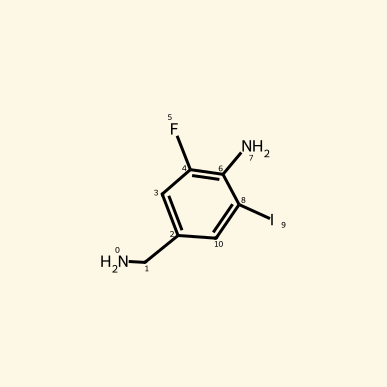 NCc1cc(F)c(N)c(I)c1